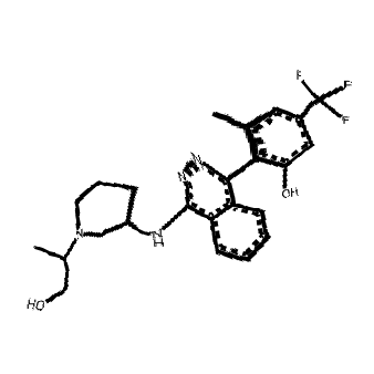 Cc1cc(C(F)(F)F)cc(O)c1-c1nnc(NC2CCCN(C(C)CO)C2)c2ccccc12